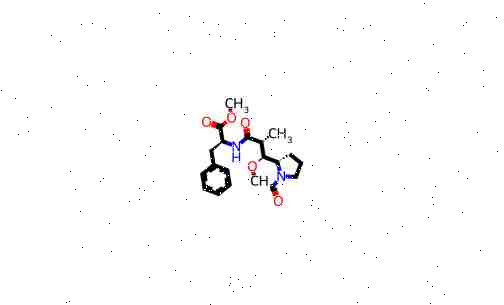 COC(=O)[C@H](Cc1ccccc1)NC(=O)[C@H](C)[C@@H](OC)[C@@H]1CCCN1C=O